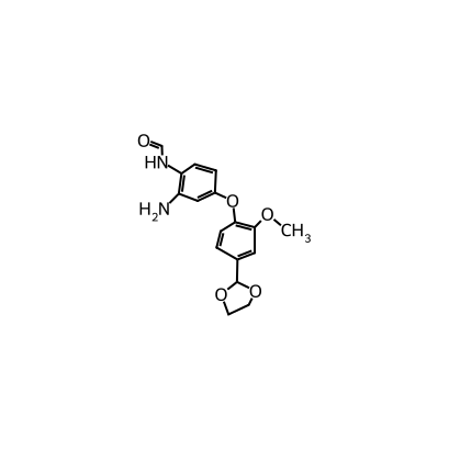 COc1cc(C2OCCO2)ccc1Oc1ccc(NC=O)c(N)c1